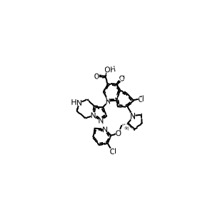 O=C(O)c1cn(-c2cnn3c2CNCC3)c2cc(N3CCC[C@@H]3COc3ncccc3Cl)c(Cl)cc2c1=O